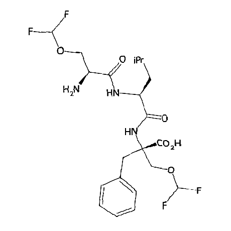 CC(C)C[C@H](NC(=O)[C@@H](N)COC(F)F)C(=O)N[C@](COC(F)F)(Cc1ccccc1)C(=O)O